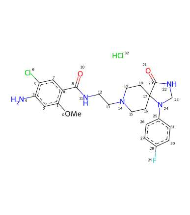 COc1cc(N)c(Cl)cc1C(=O)NCCN1CCC2(CC1)C(=O)NCN2c1ccc(F)cc1.Cl